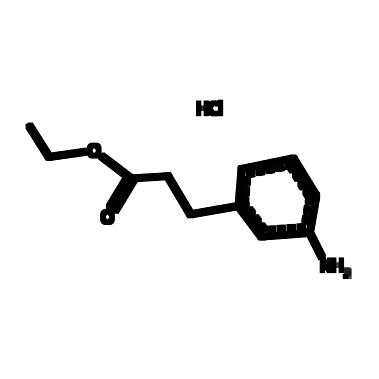 CCOC(=O)CCc1cccc(N)c1.Cl